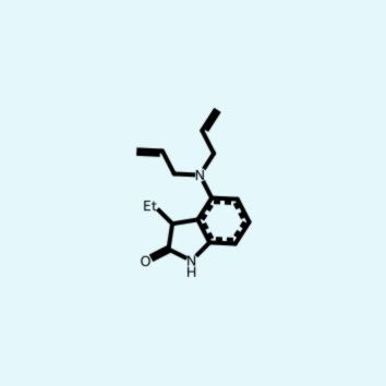 C=CCN(CC=C)c1cccc2c1C(CC)C(=O)N2